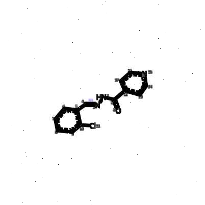 O=C(N/N=C/c1ccccc1Cl)c1ccncc1